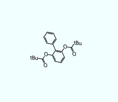 CC(C)(C)C(=O)Oc1cccc(OC(=O)C(C)(C)C)c1-c1ccccc1